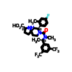 Cc1cc(F)ccc1[C@H]1C[C@]2(CC[C@@H](C(=O)O)N2)CCN1C(=O)N(C)[C@@H](C)c1cc(C(F)(F)F)cc(C(F)(F)F)c1